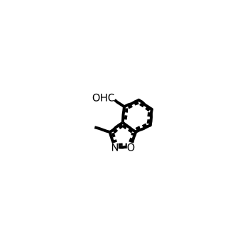 Cc1noc2cccc(C=O)c12